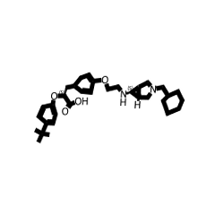 CC(C)(C)c1ccc(O[C@@H](CC2C=CC(OCCN[C@H]3C4CN(CC5CCCCC5)C[C@@H]43)=CC2)C(=O)O)cc1